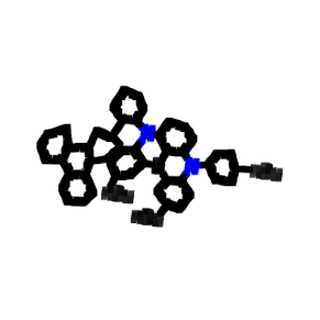 CCCCc1c#cc2c(c1)B1c3cc(CCCC)ccc3N(c3ccc(CCCC)cc3)c3cccc(c31)N2c1ccccc1C1=Cc2c(c3ccccc3c3ccccc23)CC1